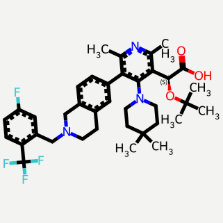 Cc1nc(C)c([C@H](OC(C)(C)C)C(=O)O)c(N2CCC(C)(C)CC2)c1-c1ccc2c(c1)CCN(Cc1cc(F)ccc1C(F)(F)F)C2